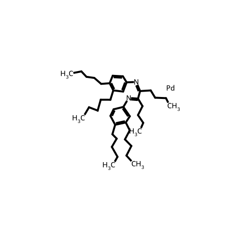 CCCCCc1ccc(N=C(CCCC)C(CCCC)=Nc2ccc(CCCCC)c(CCCCC)c2)cc1CCCCC.[Pd]